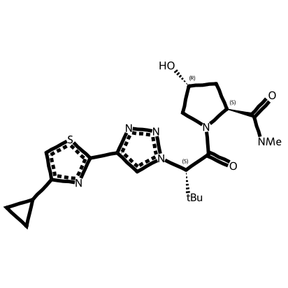 CNC(=O)[C@@H]1C[C@@H](O)CN1C(=O)[C@@H](n1cc(-c2nc(C3CC3)cs2)nn1)C(C)(C)C